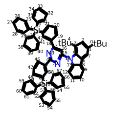 CC(C)(C)c1cc(C(C)(C)C)c2c(c1)c1ccccc1n2-c1cc(-c2cccc([Si](c3ccccc3)(c3ccccc3)c3ccccc3)c2)nc(-c2cccc([Si](c3ccccc3)(c3ccccc3)c3ccccc3)c2)n1